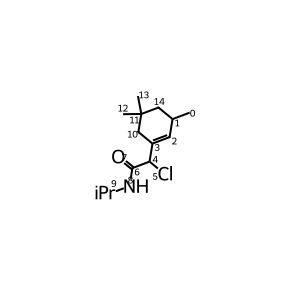 CC1C=C(C(Cl)C(=O)NC(C)C)CC(C)(C)C1